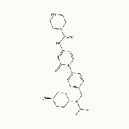 CC(C)N(Cc1ccc(-n2ccc(NC(=O)N3CCNCC3)nc2=O)cc1)[C@H]1CC[C@H](N)CC1